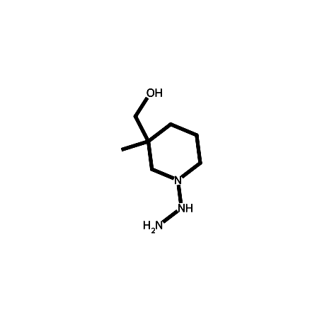 CC1(CO)CCCN(NN)C1